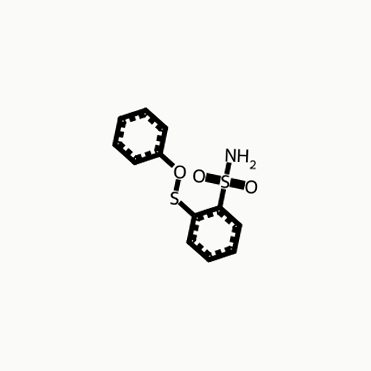 NS(=O)(=O)c1ccccc1SOc1ccccc1